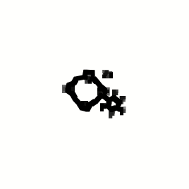 Fc1c(F)c(F)c(-c2cc3cc4nc(cc5ccc(cc6nc(cc2[nH]3)C=C6)[nH]5)C=C4)c(F)c1F.[Zn]